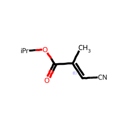 C/C(=C\C#N)C(=O)OC(C)C